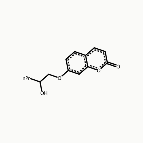 CCCC(O)COc1ccc2ccc(=O)oc2c1